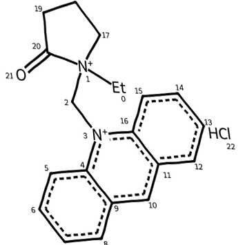 CC[N+]1(C[n+]2c3ccccc3cc3ccccc32)CCCC1=O.Cl